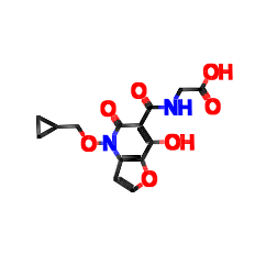 O=C(O)CNC(=O)c1c(O)c2occc2n(OCC2CC2)c1=O